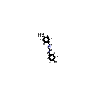 Cc1ccc(/C=C/C=C/c2ccc(S)cc2)cc1